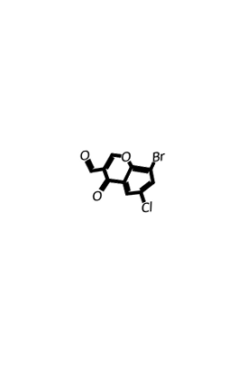 O=Cc1coc2c(Br)cc(Cl)cc2c1=O